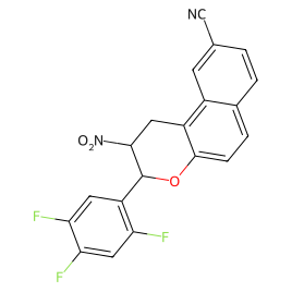 N#Cc1ccc2ccc3c(c2c1)CC([N+](=O)[O-])C(c1cc(F)c(F)cc1F)O3